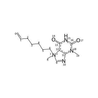 C=CCCCCC[N+]1(C)C=Nc2c1c(=O)[nH]c(=O)n2C